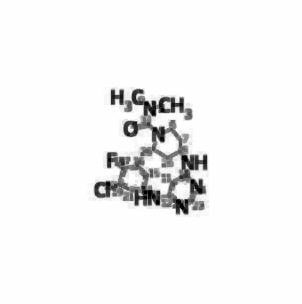 CN(C)C(=O)N1CCC(Nc2cc(Nc3ccc(F)c(Cl)c3)ncn2)CC1